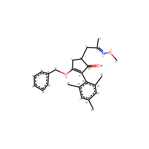 CON=C(C)CC1CC(OCc2ccccc2)=C(c2c(C)cc(C)cc2C)C1=O